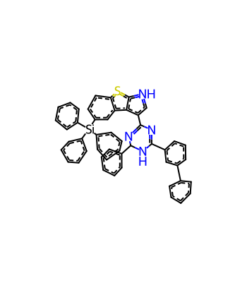 c1ccc(-c2cccc(C3=NC(c4c[nH]c5sc6ccc([Si](c7ccccc7)(c7ccccc7)c7ccccc7)cc6c45)=NC(c4ccccc4)N3)c2)cc1